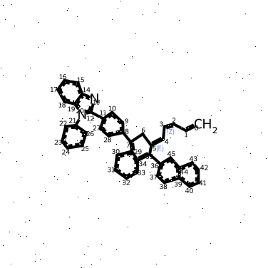 C=C/C=C\C=C1/CC(c2ccc(-c3nc4ccccc4n3-c3ccccc3)cc2)=c2ccccc2=C1c1ccc2ccccc2c1